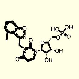 Cc1cccc2onc(Cn3c(=O)ccn([C@@H]4O[C@H](COP(=O)(O)O)[C@H](O)[C@@H]4O)c3=O)c12